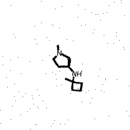 CN1CCC(NC2(C)CCC2)C1